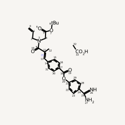 C=CCN(CC(=O)OC(C)(C)C)C(=O)/C(C)=C/c1ccc(C(=O)Oc2ccc(C(=N)N)cc2)cc1.CC(=O)O